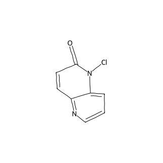 O=c1ccc2ncccc2n1Cl